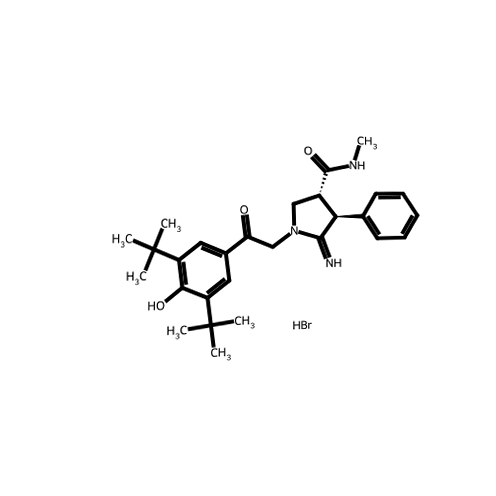 Br.CNC(=O)[C@H]1CN(CC(=O)c2cc(C(C)(C)C)c(O)c(C(C)(C)C)c2)C(=N)[C@@H]1c1ccccc1